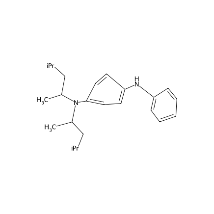 CC(C)CC(C)N(c1ccc(Nc2ccccc2)cc1)C(C)CC(C)C